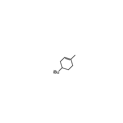 [CH2]CC(C)C1CC=C(C)CC1